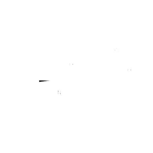 COC(=O)c1ccc2c(c1)OC[C@H](c1ccccc1C)N(C)C2